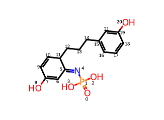 O=P(O)(O)N=C1C=C(O)C=CC1CCCc1cccc(O)c1